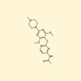 COc1nc(N2CCN(C)CC2)nc(OC)c1Sc1nccc(NC(C)=O)n1